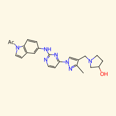 CC(=O)n1ccc2cc(Nc3nccc(-n4cc(CN5CCC(O)C5)c(C)n4)n3)ccc21